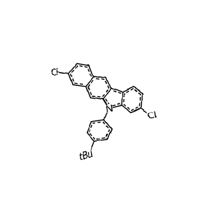 CC(C)(C)c1ccc(-n2c3cc(Cl)ccc3c3cc4ccc(Cl)cc4cc32)cc1